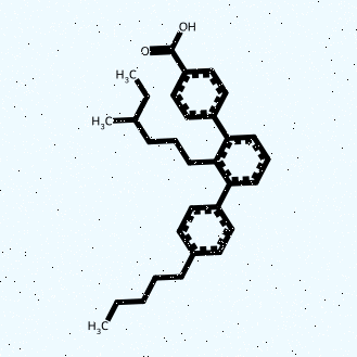 CCCCCc1ccc(-c2cccc(-c3ccc(C(=O)O)cc3)c2CCCC(C)CC)cc1